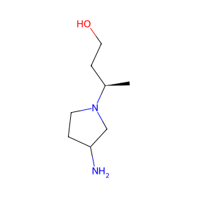 C[C@H](CCO)N1CCC(N)C1